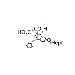 CCCCCCCOc1ccc2c(c1)CC(C)(C)N=C2C=Cc1ccccc1.O=C(O)/C=C/C(=O)O